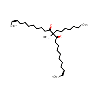 CCCCCCCC/C=C\CCCCCCCC(=O)C(CCCCCCCCCCCCCCCC)(C(=O)O)C(=O)CCCCCCC/C=C\CCCCCCCC